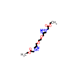 CCOC(=O)CN/C=C(/COCCOCc1cn(CC(=O)OCC)nn1)N=N